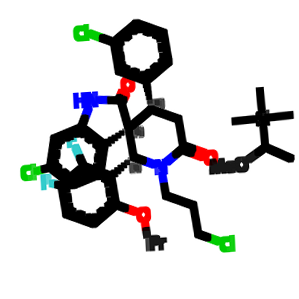 CC(C)Oc1ccc(F)c(F)c1[C@H]1N(CCCCl)C(=O)C[C@@H](c2cccc(Cl)c2)[C@]12C(=O)Nc1cc(Cl)ccc12.COC(C)[Si](C)(C)C